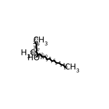 CCCCCCCCCCCCCC(O)C(C)CCCCC